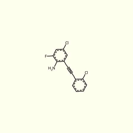 Nc1c(F)cc(Cl)cc1C#Cc1ccccc1Cl